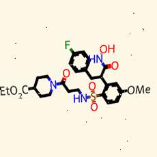 CCOC(=O)C1CCN(C(=O)CCNS(=O)(=O)c2ccc(OC)cc2C(Cc2ccc(F)cc2)C(=O)NO)CC1